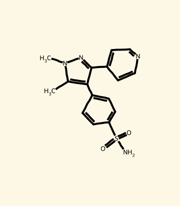 Cc1c(-c2ccc(S(N)(=O)=O)cc2)c(-c2ccncc2)nn1C